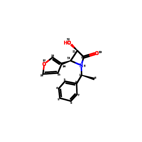 C[C@@H](c1ccccc1)N1C(=O)[C@H](O)[C@@H]1c1ccoc1